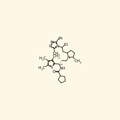 CCC(CC1CCC(C)N1CC[C@H](NC(=O)C1CCCC1)c1sc(C)c(C)c1C)n1c(C)nnc1C(C)C